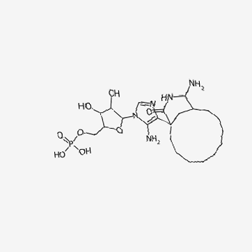 Nc1c(C23CCCCCCCCCC(C2)C(N)NC3=O)ncn1C1OC(COP(=O)(O)O)C(O)C1O